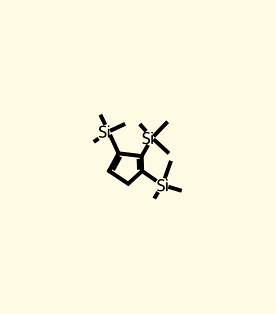 C[Si](C)(C)C1=CCC([Si](C)(C)C)=C1[Si](C)(C)C